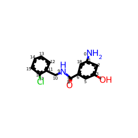 Nc1cc(O)cc(C(=O)NCc2ccccc2Cl)c1